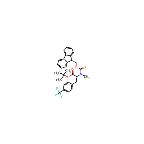 CN(C(=O)OCC1c2ccccc2-c2ccccc21)C(Cc1ccc(C(F)(F)F)cc1)C(=O)OC(C)(C)C